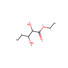 CCOC(=O)C(O)C(O)CC